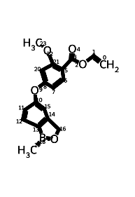 C=COC(=O)c1ccc(Oc2ccc3c(c2)COB3C)cc1OC